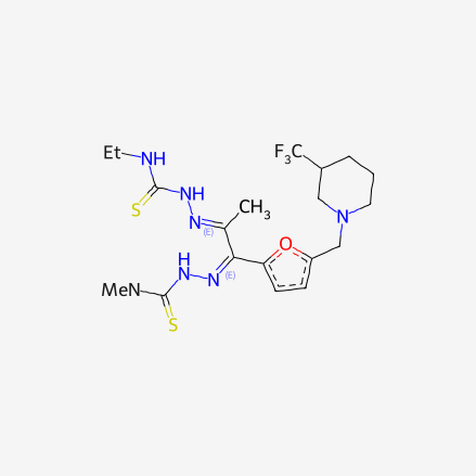 CCNC(=S)N/N=C(C)/C(=N\NC(=S)NC)c1ccc(CN2CCCC(C(F)(F)F)C2)o1